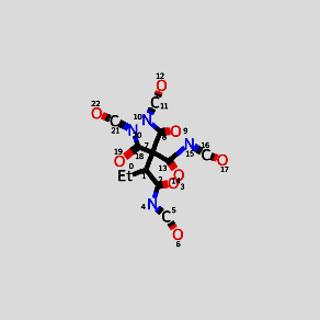 CCC(C(=O)N=C=O)C(C(=O)N=C=O)(C(=O)N=C=O)C(=O)N=C=O